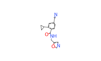 N#Cc1ccc(C(=O)NCc2cnco2)c(C2CC2)c1